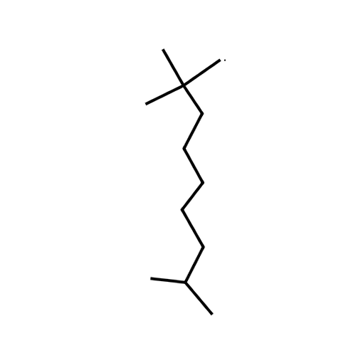 [CH2]C(C)(C)CCCCCC(C)C